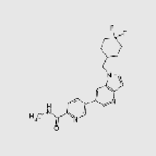 CNC(=O)c1ccc(-c2cnc3ccn(CC4CCC(F)(F)CC4)c3c2)cn1